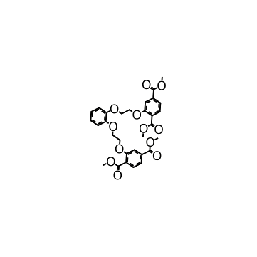 COC(=O)c1ccc(C(=O)OC)c(OCCOc2ccccc2OCCOc2cc(C(=O)OC)ccc2C(=O)OC)c1